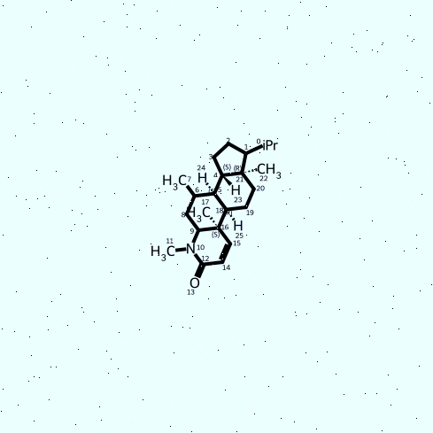 CC(C)C1CC[C@H]2[C@@H]3C(C)CC4N(C)C(=O)C=C[C@]4(C)[C@@H]3CC[C@]12C